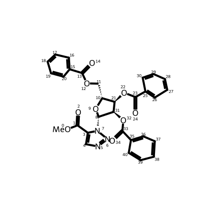 COC(=O)c1cnnn1[C@@H]1O[C@H](COC(=O)c2ccccc2)[C@@H](OC(=O)c2ccccc2)[C@H]1OC(=O)c1ccccc1